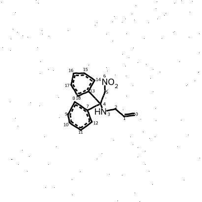 C=CCNC(C[N+](=O)[O-])(c1ccccc1)c1ccccc1